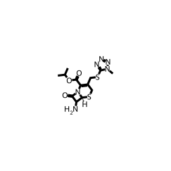 CC(C)OC(=O)C1=C(CSc2nnnn2C)CS[C@H]2C(N)C(=O)N12